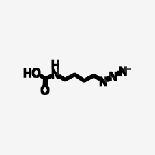 [N-]=[N+]=NCCCCNC(=O)O